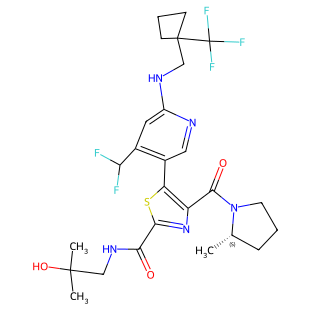 C[C@H]1CCCN1C(=O)c1nc(C(=O)NCC(C)(C)O)sc1-c1cnc(NCC2(C(F)(F)F)CCC2)cc1C(F)F